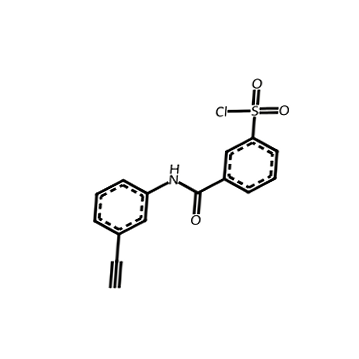 C#Cc1cccc(NC(=O)c2cccc(S(=O)(=O)Cl)c2)c1